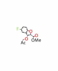 COC(=O)c1oc2ccc(F)cc2c1OCC(C)=O